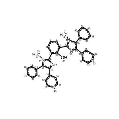 Cn1c(-c2cccc(-c3nc(-c4ccncc4)c(-c4ccccc4)n3C)c2O)nc(-c2ccncc2)c1-c1ccccc1